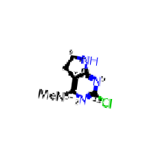 CNc1nc(Cl)nc2c1CCN2